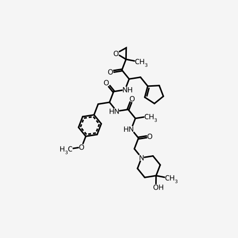 COc1ccc(CC(NC(=O)C(C)NC(=O)CN2CCC(C)(O)CC2)C(=O)NC(CC2=CCCC2)C(=O)C2(C)CO2)cc1